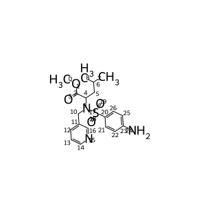 COC(=O)C(CC(C)C)N(Cc1cccnc1)S(=O)(=O)c1ccc(N)cc1